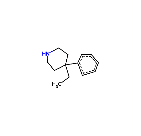 CCC1(c2ccccc2)CCNCC1